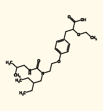 CCOC(Cc1ccc(OCCN(CC(CC)CC)C(=O)NCC(C)C)cc1)C(=O)O